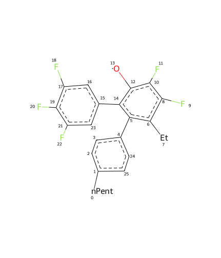 CCCCCc1ccc(-c2c(CC)c(F)c(F)c([O])c2-c2cc(F)c(F)c(F)c2)cc1